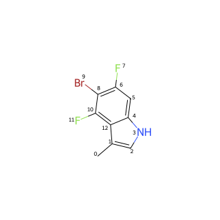 Cc1c[nH]c2cc(F)c(Br)c(F)c12